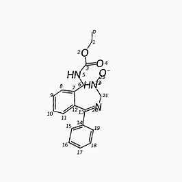 CCOC(=O)NC1c2ccccc2C(c2ccccc2)=NC[NH+]1[O-]